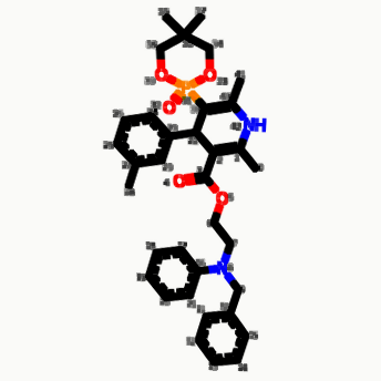 CC1=C(C(=O)OCCN(Cc2ccccc2)c2ccccc2)C(c2cccc(C)c2)C(P2(=O)OCC(C)(C)CO2)=C(C)N1